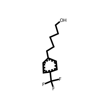 OCCCCCc1ccc(C(F)(F)F)cc1